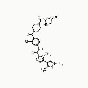 Cn1cc(-c2cnc(C(=O)Nc3ccc(C(=O)N4CCN(C(=O)[C@@H]5C[C@@H](O)CN5)CC4)c(Cl)c3)n2C)c(C(F)(F)F)n1